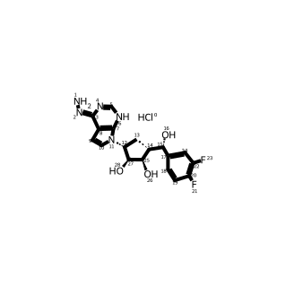 Cl.N/N=c1\nc[nH]c2c1ccn2[C@@H]1C[C@H]([C@H](O)c2ccc(F)c(F)c2)[C@@H](O)[C@H]1O